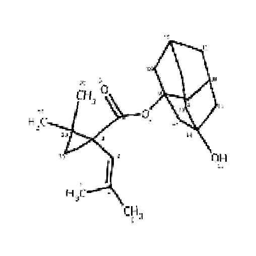 CC(C)=CC1(C(=O)OC23CC4CC(CC(O)(C4)C2)C3)CC1(C)C